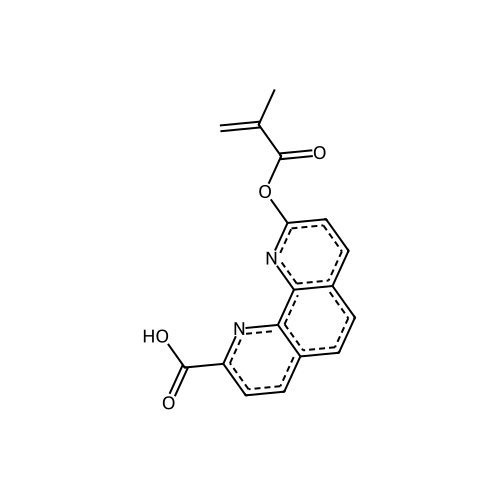 C=C(C)C(=O)Oc1ccc2ccc3ccc(C(=O)O)nc3c2n1